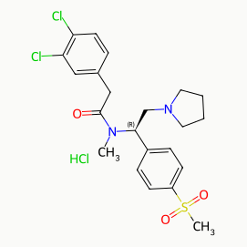 CN(C(=O)Cc1ccc(Cl)c(Cl)c1)[C@@H](CN1CCCC1)c1ccc(S(C)(=O)=O)cc1.Cl